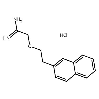 Cl.N=C(N)COCCc1ccc2ccccc2c1